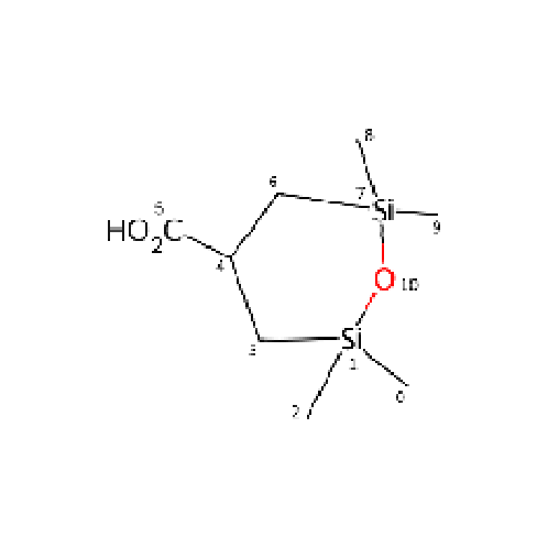 C[Si]1(C)CC(C(=O)O)C[Si](C)(C)O1